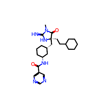 CN1C(=N)N[C@](CCC2CCCCC2)(C[C@H]2CCC[C@@H](NC(=O)c3cncnc3)C2)C1=O